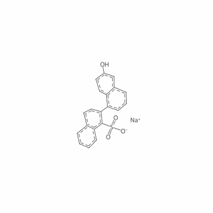 O=S(=O)([O-])c1c(-c2cccc3cc(O)ccc23)ccc2ccccc12.[Na+]